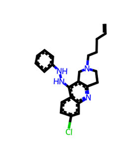 C=CCCCN1CCc2nc3cc(Cl)ccc3c(NNc3ccccc3)c2C1